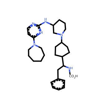 O=C(O)NC(Cc1ccccc1)C1CCC(N2CCCC(Nc3nccc(N4CCCCCC4)n3)C2)CC1